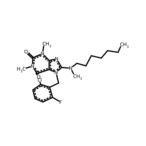 CCCCCCCN(C)c1nc2c(c(=O)n(C)c(=O)n2C)n1Cc1c(F)cccc1Cl